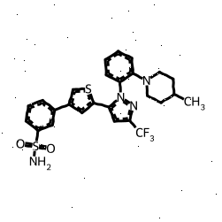 CC1CCN(c2ccccc2-n2nc(C(F)(F)F)cc2-c2cc(-c3cccc(S(N)(=O)=O)c3)cs2)CC1